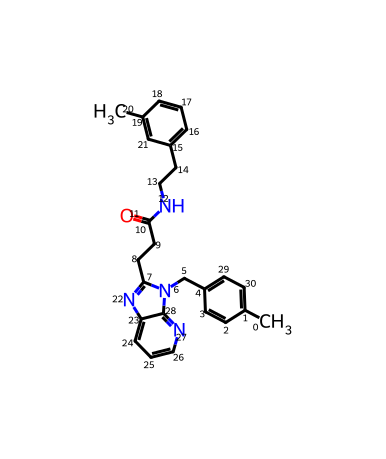 Cc1ccc(Cn2c(CCC(=O)NCCc3cccc(C)c3)nc3cccnc32)cc1